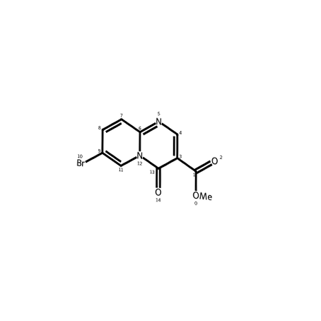 COC(=O)c1cnc2ccc(Br)cn2c1=O